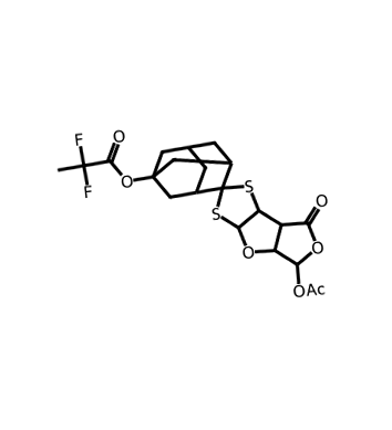 CC(=O)OC1OC(=O)C2C1OC1SC3(SC12)C1CC2CC3CC(OC(=O)C(C)(F)F)(C2)C1